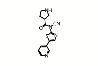 N#CN(C(=O)[C@H]1CCNC1)c1ncc(-c2cccnc2)s1